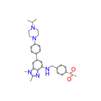 Cc1nc2c(NCc3ccc(S(C)(=O)=O)cc3)cc(-c3ccc(N4CCN(C(C)C)CC4)cc3)cc2n1C